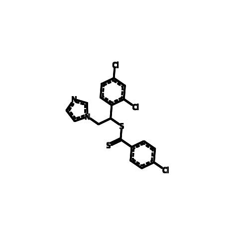 S=C(SC(Cn1ccnc1)c1ccc(Cl)cc1Cl)c1ccc(Cl)cc1